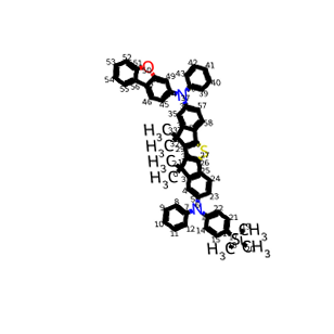 CC1(C)c2cc(N(c3ccccc3)c3ccc([Si](C)(C)C)cc3)ccc2-c2sc3c(c21)C(C)(C)c1cc(N(c2ccccc2)c2ccc4c(c2)oc2ccccc24)ccc1-3